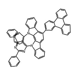 c1ccc(-c2nc(-c3ccccc3)nc(-n3c4ccccc4c4cc(-c5ccc6c7ccccc7c7ccccc7c6c5)c5c6ccccc6n(-c6ccccc6)c5c43)n2)cc1